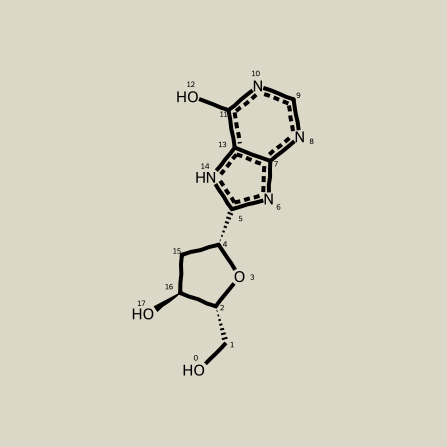 OC[C@H]1O[C@@H](c2nc3ncnc(O)c3[nH]2)C[C@@H]1O